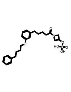 O=C(CCCCc1cccc(OCCCCc2ccccc2)c1)N1CC(OP(=O)(O)O)C1